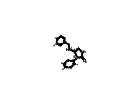 O=C1NCC(NCc2cccnc2)N1c1ccccc1